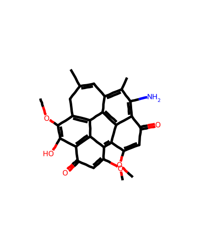 COc1c(O)c2c(=O)cc(OC)c3c4c(OC)cc(=O)c5c(N)c(C)c6c(c(c1CC(C)=C6)c23)c54